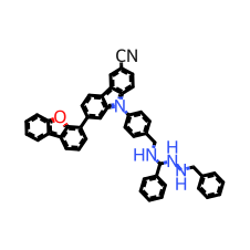 N#Cc1ccc2c(c1)c1ccc(-c3cccc4c3oc3ccccc34)cc1n2-c1ccc(CNC(NNCc2ccccc2)c2ccccc2)cc1